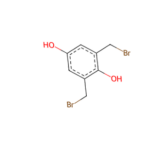 Oc1cc(CBr)c(O)c(CBr)c1